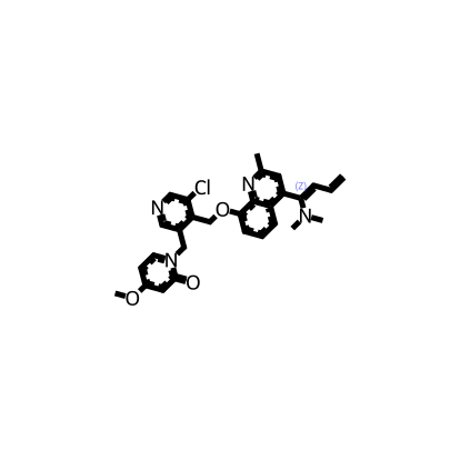 C=C/C=C(/c1cc(C)nc2c(OCc3c(Cl)cncc3Cn3ccc(OC)cc3=O)cccc12)N(C)C